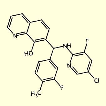 Cc1ccc(C(Nc2ncc(Cl)cc2F)c2ccc3cccnc3c2O)cc1F